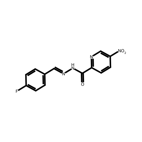 O=C(NN=Cc1ccc(F)cc1)c1ccc([N+](=O)[O-])cn1